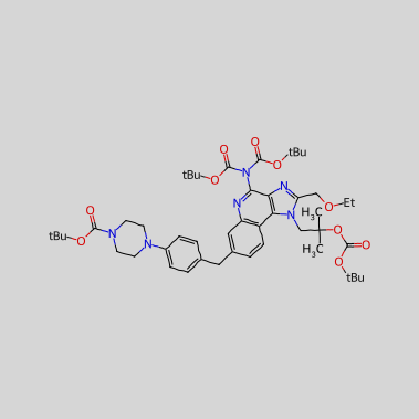 CCOCc1nc2c(N(C(=O)OC(C)(C)C)C(=O)OC(C)(C)C)nc3cc(Cc4ccc(N5CCN(C(=O)OC(C)(C)C)CC5)cc4)ccc3c2n1CC(C)(C)OC(=O)OC(C)(C)C